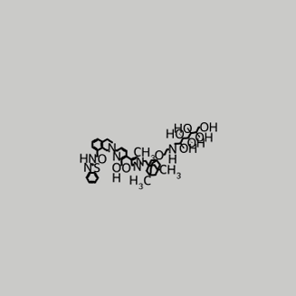 Cc1c(-c2ccc(N3CCc4cccc(C(=O)Nc5nc6ccccc6s5)c4C3)nc2C(=O)O)cnn1CC12CC3(C)CC(C)(C1)CC(OCCNC[C@H](O)[C@H](O)[C@@H](O)[C@@H](O)[C@H](O)CO)(C3)C2